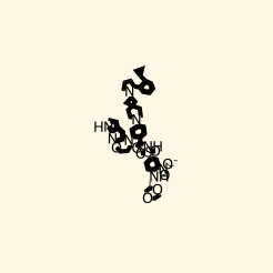 O=C(NS(=O)(=O)c1ccc(NC[C@H]2COCCO2)c([N+](=O)[O-])c1)c1ccc(N2CCC3(CC2)CC(N2CCCC2c2ccccc2C2CC2)C3)cc1N1CCCOc2nc3[nH]ccc3cc21